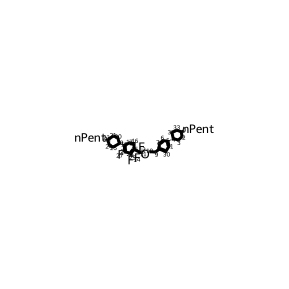 CCCCC[C@H]1CC[C@H](c2ccc(CCOC(F)(F)c3ccc([C@H]4CC[C@H](CCCCC)CC4)c(F)c3F)cc2)CC1